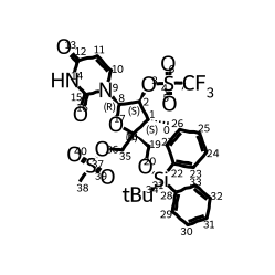 C[C@H]1[C@H](OS(=O)(=O)C(F)(F)F)[C@H](n2ccc(=O)[nH]c2=O)O[C@@]1(CO[Si](c1ccccc1)(c1ccccc1)C(C)(C)C)COS(C)(=O)=O